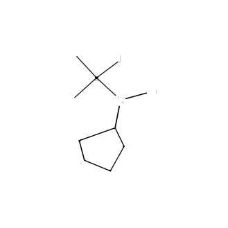 CCN(C1CCCC1)C(C)(C)CC